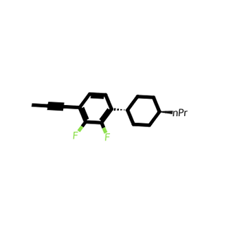 CC#Cc1ccc([C@H]2CC[C@H](CCC)CC2)c(F)c1F